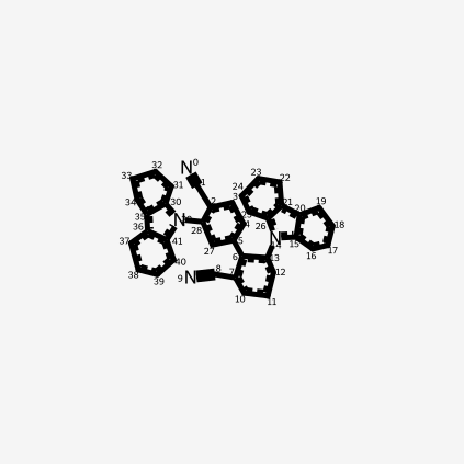 N#Cc1ccc(-c2c(C#N)cccc2-n2c3ccccc3c3ccccc32)cc1-n1c2ccccc2c2ccccc21